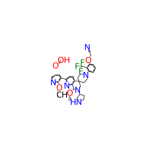 CCOc1ncccc1-c1ccc2c(n1)C(=O)N([C@H]1CCNC1)CC21CCN(c2cccc(OCC#N)c2C(F)(F)F)CC1.O=CO